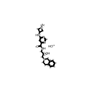 CC(=O)N1CC(Nc2cc(C(=O)NC[C@H](O)CN3CCc4ccccc4C3)ncn2)C1.Cl